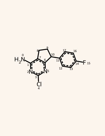 Nc1nc(Cl)nc2c1CCC2c1ccc(F)cc1